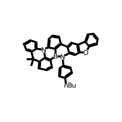 CCCCc1ccc(N2B3c4cccc5c4N(c4ccccc4C5(C)C)c4cccc(c43)-c3cc4c(cc32)oc2ccccc24)cc1